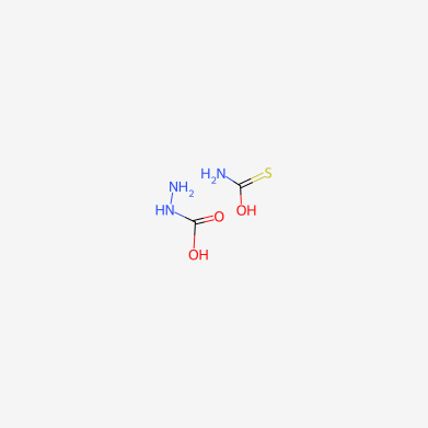 NC(O)=S.NNC(=O)O